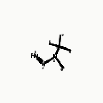 CN(N=N)C(C)(C)C